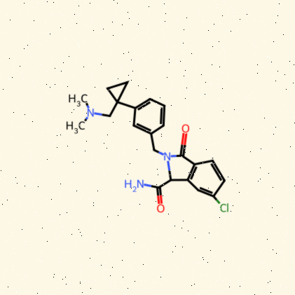 CN(C)CC1(c2cccc(CN3C(=O)c4[c]cc(Cl)cc4C3C(N)=O)c2)CC1